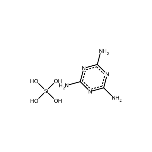 Nc1nc(N)nc(N)n1.O[Si](O)(O)O